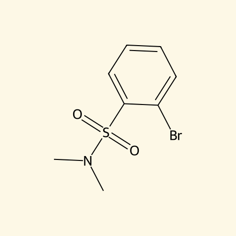 CN(C)S(=O)(=O)c1ccccc1Br